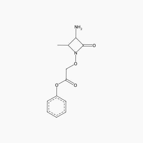 CC1C(N)C(=O)N1OCC(=O)Oc1ccccc1